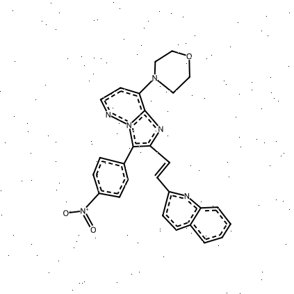 O=[N+]([O-])c1ccc(-c2c(C=Cc3ccc4ccccc4n3)nc3c(N4CCOCC4)ccnn23)cc1